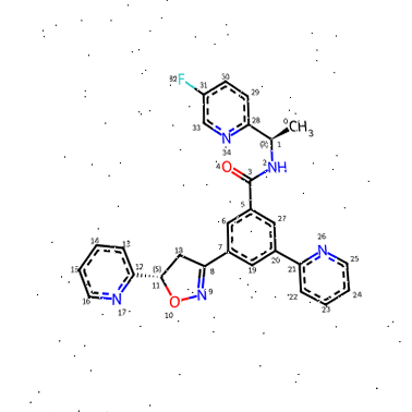 C[C@@H](NC(=O)c1cc(C2=NO[C@H](c3ccccn3)C2)cc(-c2ccccn2)c1)c1ccc(F)cn1